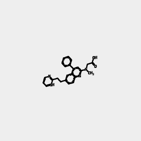 CN(CC(=O)O)c1cc(-c2ccccc2)c2cc(CCC3=NC=CC=[SH]3)ccc2n1